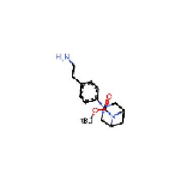 CC(C)(C)OC(=O)N1C2CC1CN(c1ccc(CCN)cc1)C2